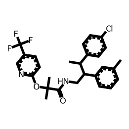 Cc1cccc(C(CNC(=O)C(C)(C)Oc2ccc(C(F)(F)F)cn2)C(C)c2ccc(Cl)cc2)c1